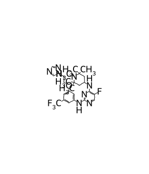 CN1C(C)(C)CC(Nc2nc(Nc3cc(OCCn4cncn4)cc(C(F)(F)F)c3)ncc2F)CC1(C)C